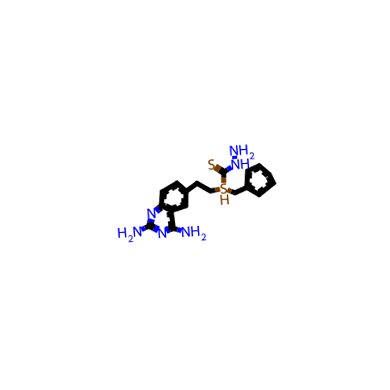 NNC(=S)[SH](CCc1ccc2nc(N)nc(N)c2c1)Cc1ccccc1